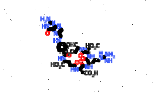 N=C(N)NCCC[C@H](NC(=O)[C@H](CC(=O)O)NC(=O)CCC(NC(=O)c1ccc(NCc2cnc3nc(N)[nH]c(=O)c3n2)cc1)C(=O)O)C(=O)N[C@@H](CC(=O)O)C(=O)N[C@H](C=O)CC(=O)O